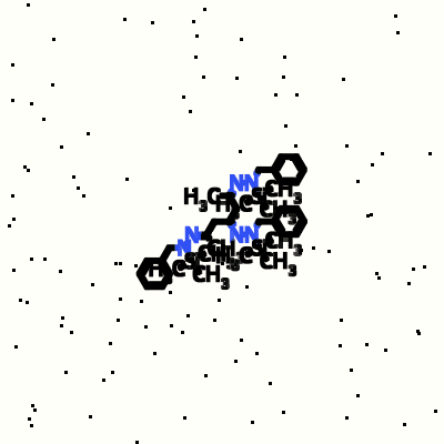 CC(CC(CC(C)=NN(Cc1ccccc1)[Si](C)(C)C)=NN(Cc1ccccc1)[Si](C)(C)C)=NN(Cc1ccccc1)[Si](C)(C)C